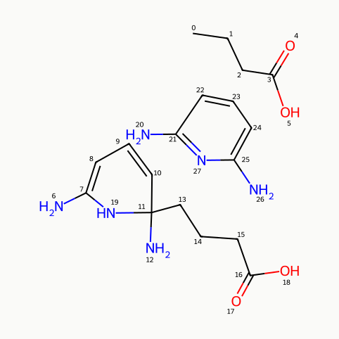 CCCC(=O)O.NC1=CC=CC(N)(CCCC(=O)O)N1.Nc1cccc(N)n1